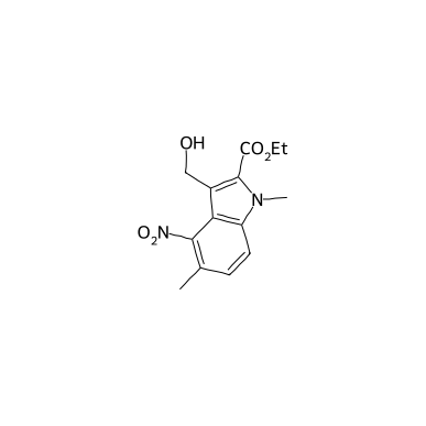 CCOC(=O)c1c(CO)c2c([N+](=O)[O-])c(C)ccc2n1C